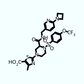 Cc1nc(N2CCN(S(=O)(=O)c3ccc(OC(F)(F)F)cc3)C(C(=O)NCc3ccc(N4CCC4)nc3)C2)sc1C(=O)O